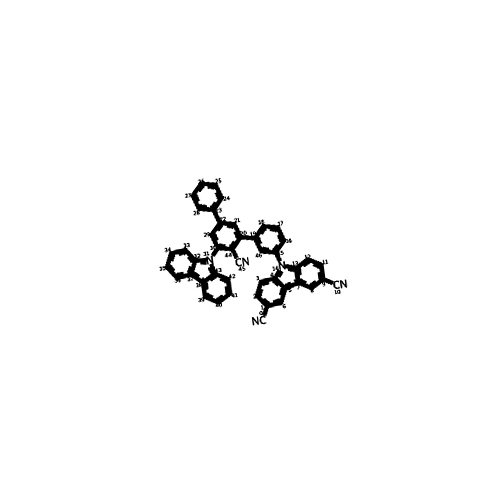 N#Cc1ccc2c(c1)c1cc(C#N)ccc1n2-c1cccc(-c2cc(-c3ccccc3)cc(-n3c4ccccc4c4ccccc43)c2C#N)c1